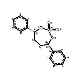 O=[P@@]1(Cl)O[C@@H](c2ccccc2)CC[C@H](c2ccccc2)S1